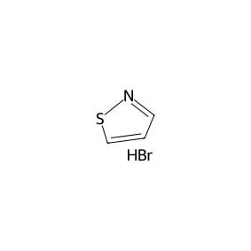 Br.c1cnsc1